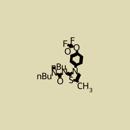 CCCCN(CCCC)C(=O)N=c1sc(C)cn1-c1ccc2c(c1)OC(F)(F)O2